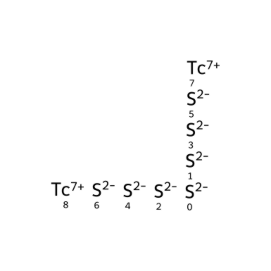 [S-2].[S-2].[S-2].[S-2].[S-2].[S-2].[S-2].[Tc+7].[Tc+7]